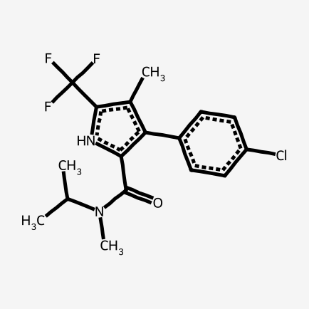 Cc1c(C(F)(F)F)[nH]c(C(=O)N(C)C(C)C)c1-c1ccc(Cl)cc1